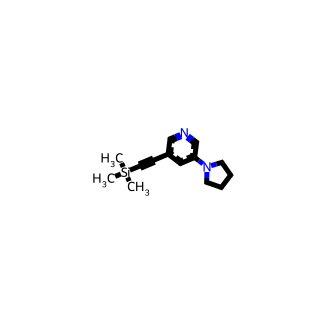 C[Si](C)(C)C#Cc1cncc(N2CCCC2)c1